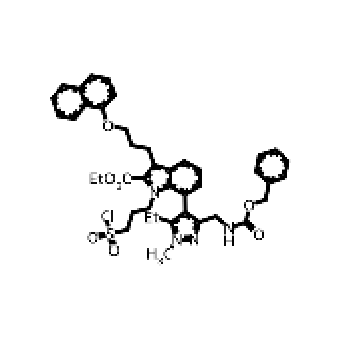 CCOC(=O)c1c(CCCOc2cccc3ccccc23)c2cccc(-c3c(CNC(=O)OCc4ccccc4)nn(C)c3CC)c2n1CCCS(=O)(=O)Cl